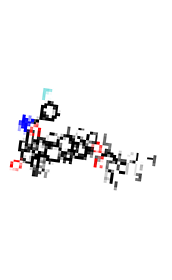 CC(C)C1=C2[C@H]3CC[C@@H]4[C@@]5(C)CC[C@H](OC(=O)CC(C)(C)C(=O)O)C(C)(C)C5CC[C@@]4(C)[C@]3(C)CC[C@@]2(Cc2nnc(-c3cccc(F)c3)o2)CC1=O